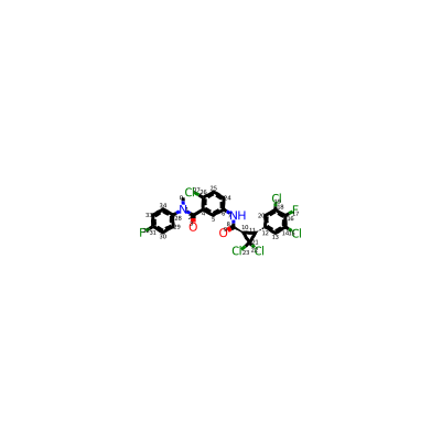 CN(C(=O)c1cc(NC(=O)[C@H]2[C@H](c3cc(Cl)c(F)c(Cl)c3)C2(Cl)Cl)ccc1Cl)c1ccc(F)cc1